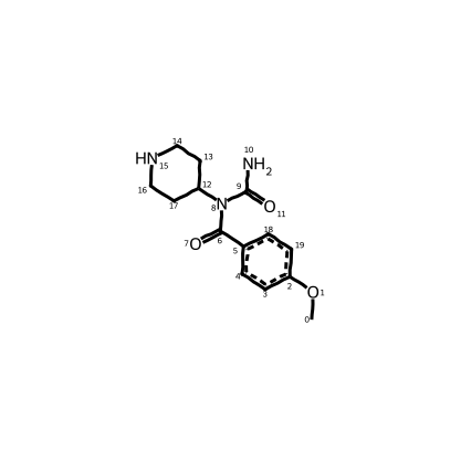 COc1ccc(C(=O)N(C(N)=O)C2CCNCC2)cc1